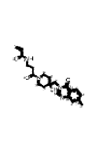 C=CC(=O)NCCC(=O)N1CCC(O)(Cn2cnc3cc(C)ccc3c2=O)CC1